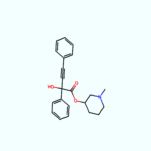 CN1CCCC(OC(=O)C(O)(C#Cc2ccccc2)c2ccccc2)C1